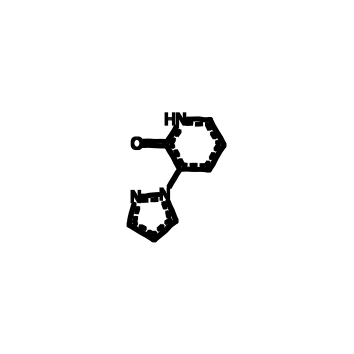 O=c1[nH]cccc1-n1cccn1